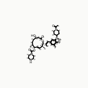 CC(=O)N1CCC(n2nnc3c(F)cc(/C=C(\C)[C@H]4OC(=O)C[C@H](O)CC[C@H](C)[C@@H](OC(=O)N5CCNCC5)/C=C/[C@@H]4C)cc32)CC1